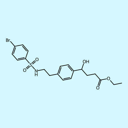 CCOC(=O)CCC(O)c1ccc(CCNS(=O)(=O)c2ccc(Br)cc2)cc1